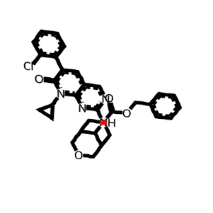 O=C(OCc1ccccc1)N1CC2COCC(C1)C2Nc1ncc2cc(-c3ccccc3Cl)c(=O)n(C3CC3)c2n1